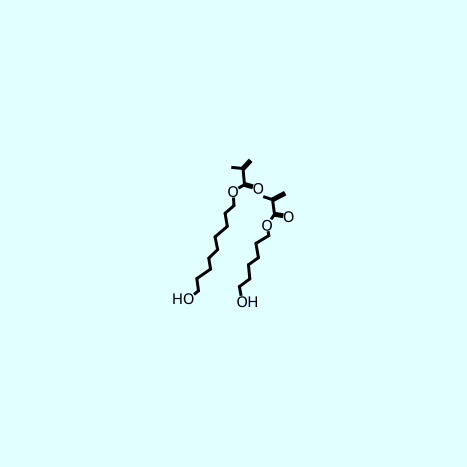 C=C(C)C(=O)OCCCCCCCCCO.C=C(C)C(=O)OCCCCCCO